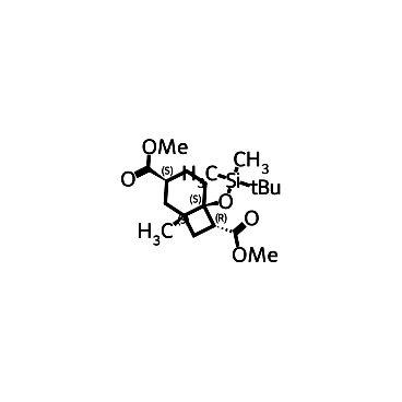 COC(=O)[C@H]1CC[C@]2(O[Si](C)(C)C(C)(C)C)[C@H](C(=O)OC)C[C@]2(C)C1